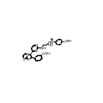 COc1ccc(S(=O)(=O)NCCNc2nccc(-c3c(-c4cccc(OC)c4)nc4sccn34)n2)cc1